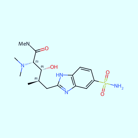 CNC(=O)[C@H]([C@H](O)[C@H](C)Cc1nc2cc(S(N)(=O)=O)ccc2[nH]1)N(C)C